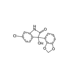 O=C1Nc2cc(Cl)ccc2C1(O)c1cccc2c1OCO2